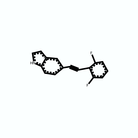 Fc1cccc(F)c1C#Cc1ccc2[nH]ccc2c1